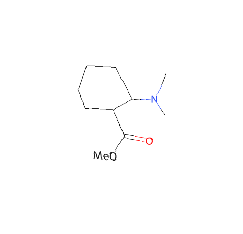 COC(=O)C1CCCCC1N(C)C